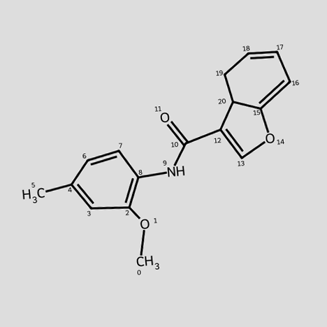 COc1cc(C)ccc1NC(=O)C1=COC2=CC=CCC21